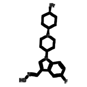 CC(C)[C@H]1CC[C@@H](N2CCC(n3cc(C=NO)c4cc(F)ccc43)CC2)CC1